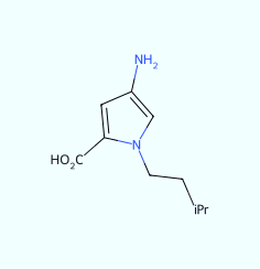 CC(C)CCn1cc(N)cc1C(=O)O